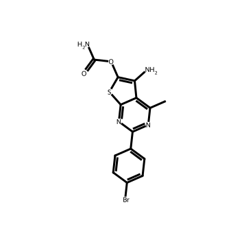 Cc1nc(-c2ccc(Br)cc2)nc2sc(OC(N)=O)c(N)c12